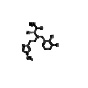 CC(C)C(C(N)=O)N(CCc1cn(C)cn1)Cc1cccc(Cl)c1Cl